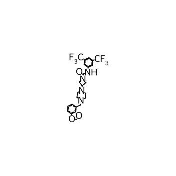 O=C(Nc1cc(C(F)(F)F)cc(C(F)(F)F)c1)N1CC(N2CCN(Cc3cccc4c3OCO4)CC2)C1